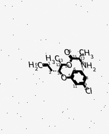 C=CC[C@@H](Oc1cccc(Cl)c1)[C@H](C)OC(=O)[C@H](C)N